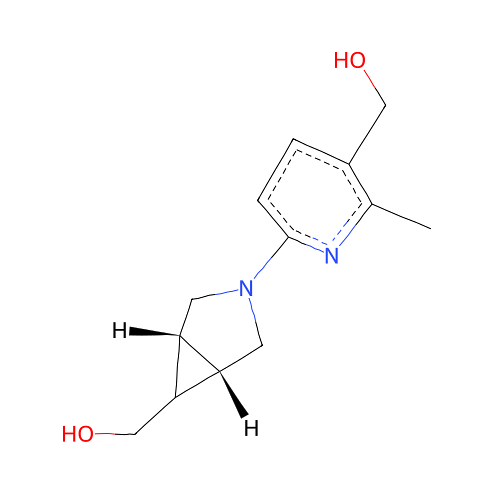 Cc1nc(N2C[C@@H]3C(CO)[C@@H]3C2)ccc1CO